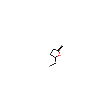 C=C1CCC(CC)O1